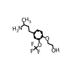 CC(N)CCc1ccc(OCCO)c(OC(F)(F)F)c1